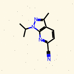 Cc1nn(C(C)C)c2nc(C#N)ccc12